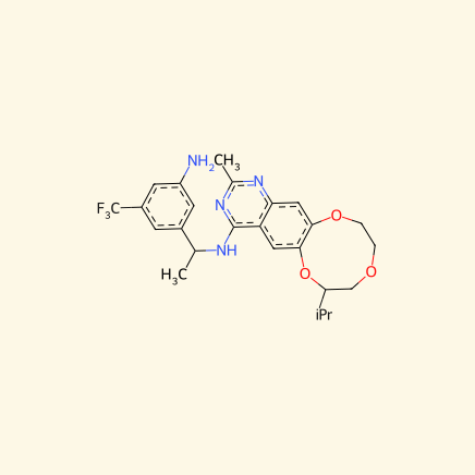 Cc1nc(NC(C)c2cc(N)cc(C(F)(F)F)c2)c2cc3c(cc2n1)OCCOCC(C(C)C)O3